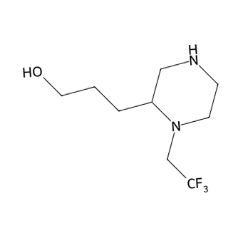 OCCCC1CNCCN1CC(F)(F)F